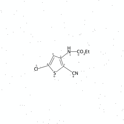 CCOC(=O)Nc1cc(Cl)sc1C#N